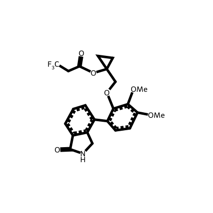 COc1ccc(-c2cccc3c2CNC3=O)c(OCC2(OC(=O)CC(F)(F)F)CC2)c1OC